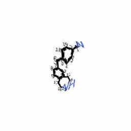 N#Cc1ccc(Cc2ccc3c(c2)CCNCC3)cc1